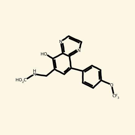 O=C(O)NCc1cc(-c2ccc(OC(F)(F)F)cc2)c2nccnc2c1O